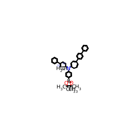 C=C(/C=C\C(=C/C)c1ccccc1)N(C1=CC=C(c2ccc(-c3ccccc3)cc2)C=CC1)c1ccc(B2OC(C)(C)C(C)(C)O2)cc1